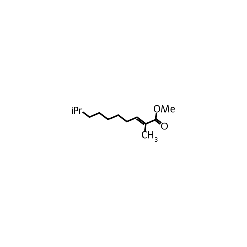 COC(=O)C(C)=CCCCCCC(C)C